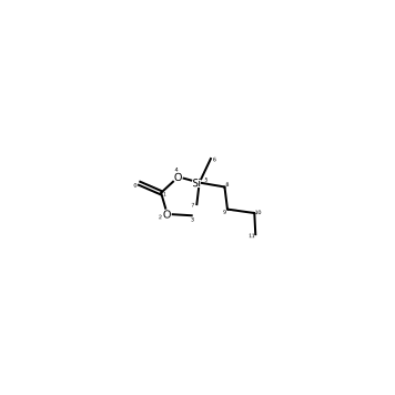 C=C(OC)O[Si](C)(C)CCCC